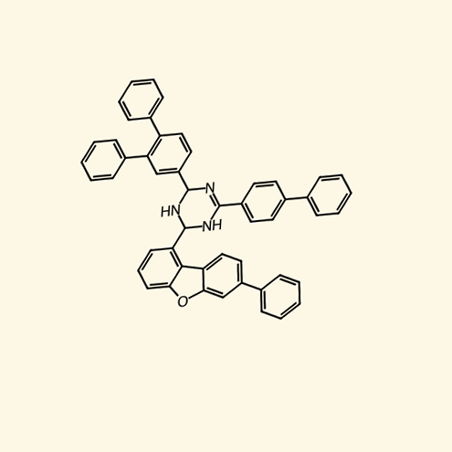 c1ccc(-c2ccc(C3=NC(c4ccc(-c5ccccc5)c(-c5ccccc5)c4)NC(c4cccc5oc6cc(-c7ccccc7)ccc6c45)N3)cc2)cc1